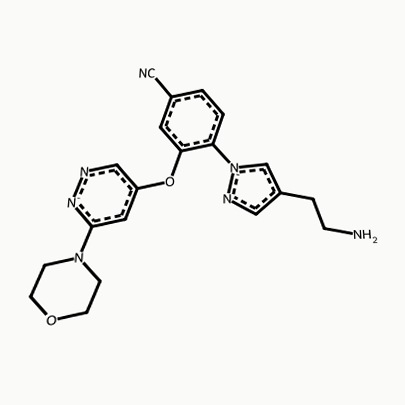 N#Cc1ccc(-n2cc(CCN)cn2)c(Oc2cnnc(N3CCOCC3)c2)c1